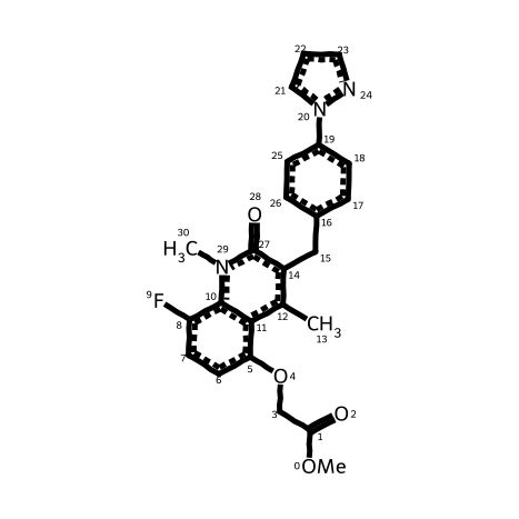 COC(=O)COc1ccc(F)c2c1c(C)c(Cc1ccc(-n3cccn3)cc1)c(=O)n2C